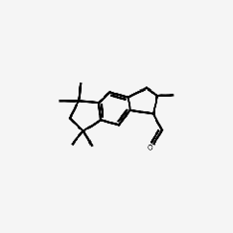 CC1Cc2cc3c(cc2C1C=O)C(C)(C)CC3(C)C